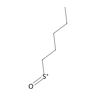 CCCCC[S+]=O